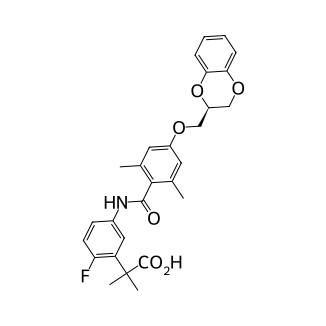 Cc1cc(OC[C@@H]2COc3ccccc3O2)cc(C)c1C(=O)Nc1ccc(F)c(C(C)(C)C(=O)O)c1